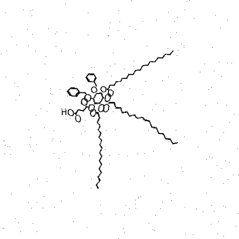 CCCCCCCCCCCCCCCCCCCC(=O)O[C@@H]1[C@@H](OC(=O)CCCCCCCCCCCCCCCCCCC)[C@@H](OC(=O)CCC(=O)O)[C@@H](OCc2ccccc2)[C@H](OCc2ccccc2)[C@H]1OC(=O)CCCCCCCCCCCCCCCCCCC